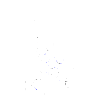 CCCCCCOC1CC(C)(C)N(c2nc(NC(CCC)C3CC(C)(C)NC(C)(C)C3)nc(NC(CCC)C3CC(C)(C)NC(C)(C)C3)n2)C(C)(C)C1